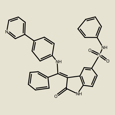 O=C1Nc2ccc(S(=O)(=O)Nc3ccccc3)cc2C1=C(Nc1ccc(-c2cccnc2)cc1)c1ccccc1